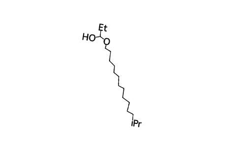 CCC(O)OCCCCCCCCCCCCC(C)C